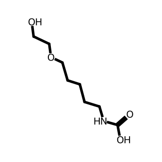 O=C(O)NCCCCCOCCO